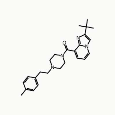 Cc1ccc(CCN2CCN(C(=O)c3cccn4cc(C(C)(C)C)nc34)CC2)cc1